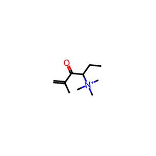 C=C(C)C(=O)C(CC)[N+](C)(C)C